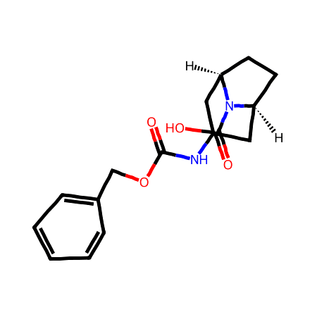 O=C(NC1C[C@H]2CC[C@@H](C1)N2C(=O)O)OCc1ccccc1